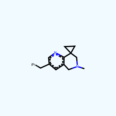 CC(C)Cc1cnc2c(c1)CN(C)CC21CC1